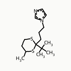 CC1CCSC(CCCn2ccnc2)(C(C)(C)C)S1